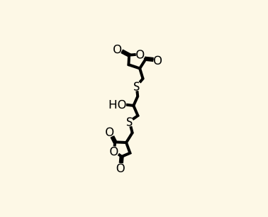 O=C1CC(CSCC(O)CSCC2CC(=O)OC2=O)C(=O)O1